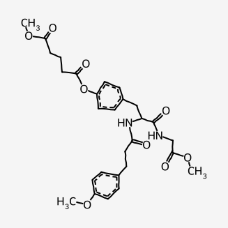 COC(=O)CCCC(=O)Oc1ccc(CC(NC(=O)CCc2ccc(OC)cc2)C(=O)NCC(=O)OC)cc1